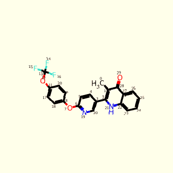 Cc1c(-c2ccc(Oc3ccc(OC(F)(F)F)cc3)nc2)[nH]c2ccccc2c1=O